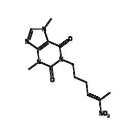 CC(=CCCCn1c(=O)c2c(ncn2C)n(C)c1=O)[N+](=O)[O-]